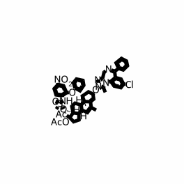 CC(=O)O[C@]1(C(C)=O)CC[C@H]2[C@@H]3C=C(C)C4=CC(=O)CC[C@]4(C)[C@H]3CC[C@@]21C.CS(=O)(=O)Nc1ccc([N+](=O)[O-])cc1Oc1ccccc1.Cc1nnc2n1-c1ccc(Cl)cc1C(c1ccccc1)=NC2